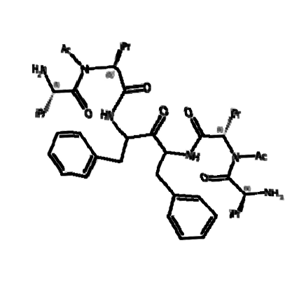 CC(=O)N(C(=O)[C@@H](N)C(C)C)[C@H](C(=O)NC(Cc1ccccc1)C(=O)C(Cc1ccccc1)NC(=O)[C@H](C(C)C)N(C(C)=O)C(=O)[C@@H](N)C(C)C)C(C)C